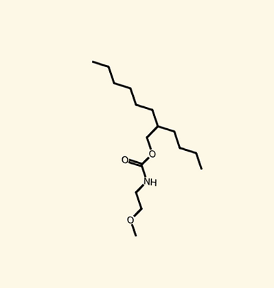 CCCCCCC(CCCC)COC(=O)NCCOC